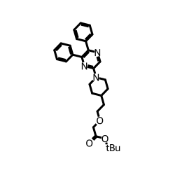 CC(C)(C)OC(=O)COCCC1CCN(c2cnc(-c3ccccc3)c(-c3ccccc3)n2)CC1